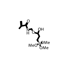 C=C(C)C(=O)NCOC(O)CC[Si](OC)(OC)OC